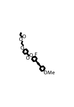 C=CC(=O)OCCCOc1ccc(C(=O)Oc2ccc(C#Cc3ccc(OC)cc3)cc2F)cc1